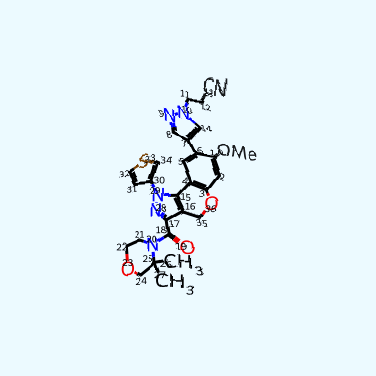 COc1cc2c(cc1-c1cnn(CCC#N)c1)-c1c(c(C(=O)N3CCOCC3(C)C)nn1-c1ccsc1)CO2